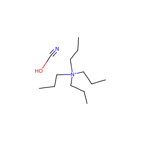 CCC[N+](CCC)(CCC)CCC.N#CO